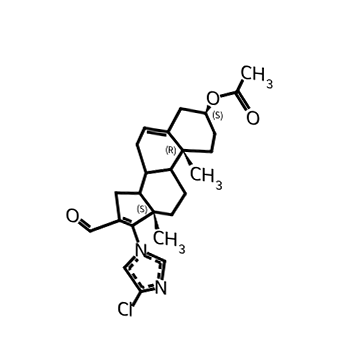 CC(=O)O[C@H]1CC[C@@]2(C)C(=CCC3C2CC[C@]2(C)C(n4cnc(Cl)c4)=C(C=O)CC32)C1